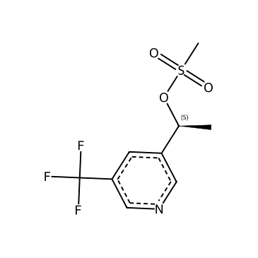 C[C@H](OS(C)(=O)=O)c1cncc(C(F)(F)F)c1